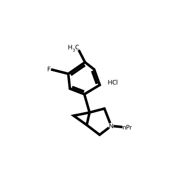 CCCN1CC2CC2(c2ccc(C)c(F)c2)C1.Cl